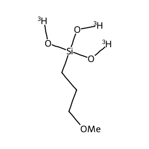 [3H]O[Si](CCCOC)(O[3H])O[3H]